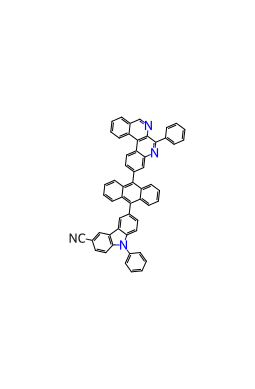 N#Cc1ccc2c(c1)c1cc(-c3c4ccccc4c(-c4ccc5c(c4)nc(-c4ccccc4)c4ncc6ccccc6c45)c4ccccc34)ccc1n2-c1ccccc1